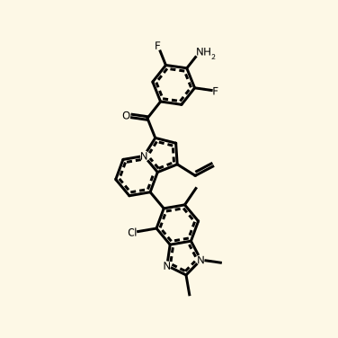 C=Cc1cc(C(=O)c2cc(F)c(N)c(F)c2)n2cccc(-c3c(C)cc4c(nc(C)n4C)c3Cl)c12